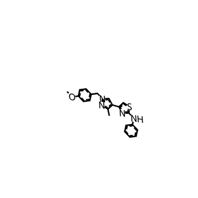 COc1ccc(Cn2cc(-c3csc(Nc4ccccc4)n3)c(C)n2)cc1